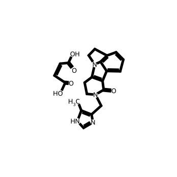 Cc1[nH]cnc1CN1CCc2c(c3cccc4c3n2CC4)C1=O.O=C(O)/C=C\C(=O)O